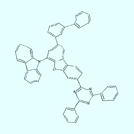 c1ccc(-c2cccc(-c3cc(-n4c5ccccc5c5ccccc54)c4oc5cc(-c6nc(-c7ccccc7)nc(-c7ccccc7)n6)ccc5c4c3)c2)cc1